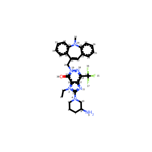 CCn1c(N2CCCC(N)C2)nc2c(C(F)(F)F)nn(CC3=Cc4ccccc4N(C)c4ccccc43)c(=O)c21